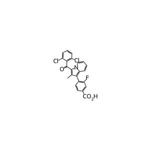 Cc1c(-c2ccc(C(=O)O)cc2F)c2ccccn2c1C(=O)c1c(Cl)cccc1Cl